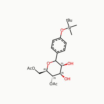 CC(=O)OC[C@H]1OC(c2ccc(O[Si](C)(C)C(C)(C)C)cc2)[C@@H](O)[C@@H](O)[C@@H]1OC(C)=O